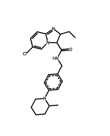 CCC1N=C2C=CC(Cl)=CN2C1C(=O)NCc1ccc(N2CCCCC2C)cc1